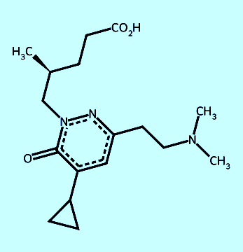 C[C@@H](CCC(=O)O)Cn1nc(CCN(C)C)cc(C2CC2)c1=O